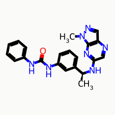 C[C@H](Nc1cnc2cnn(C)c2n1)c1cccc(NC(=O)Nc2ccccc2)c1